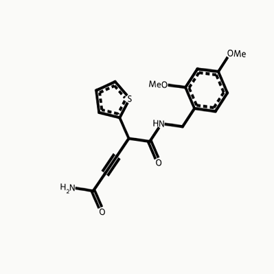 COc1ccc(CNC(=O)C(C#CC(N)=O)c2cccs2)c(OC)c1